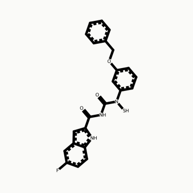 O=C(NC(=O)N(S)c1cccc(OCc2ccccc2)c1)c1cc2cc(F)ccc2[nH]1